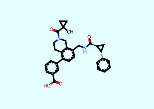 CC1(C(=O)N2CCc3c(-c4cccc(C(=O)O)c4)ccc(CNC(=O)[C@H]4C[C@@H]4c4ccccc4)c3C2)CC1